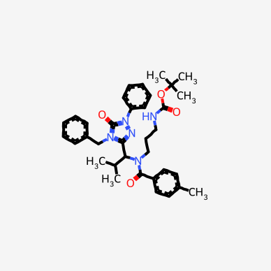 Cc1ccc(C(=O)N(CCCNC(=O)OC(C)(C)C)C(c2nn(-c3ccccc3)c(=O)n2Cc2ccccc2)C(C)C)cc1